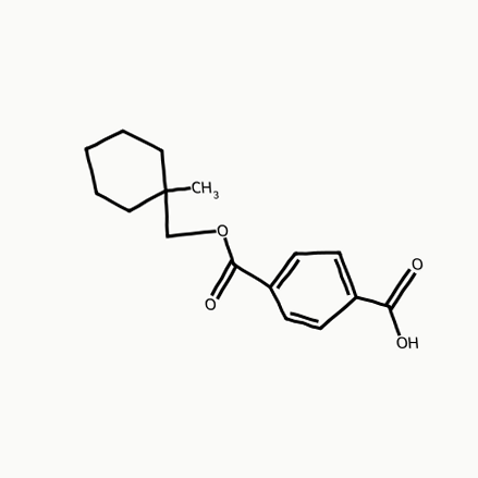 CC1(COC(=O)c2ccc(C(=O)O)cc2)CCCCC1